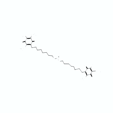 CC1=C(C)C(=O)C(CCCCCCCCO[N+](=O)OCCCCCCCCC2=C(C)C(=O)C(C)=C(C)C2=O)=C(C)C1=O